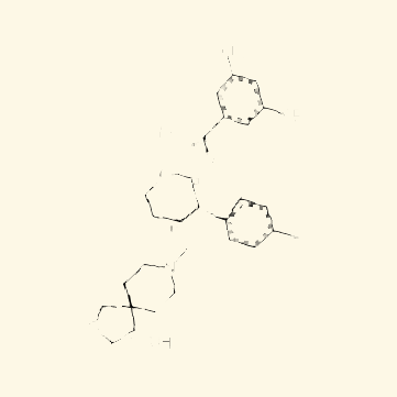 C[C@@H](O[C@H]1OCC[C@@H](CN2CCC3(CC2)COC[C@H]3O)[C@@H]1c1ccc(F)cc1)c1cc(C(F)(F)F)cc(C(F)(F)F)c1